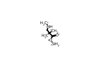 CNCC(C)(C)C(=O)O[SiH3]